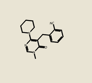 Cn1cnc(N2CCCCC2)c(Cc2ccccc2C#N)c1=O